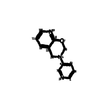 c1cncc(N2COc3ncccc3C2)c1